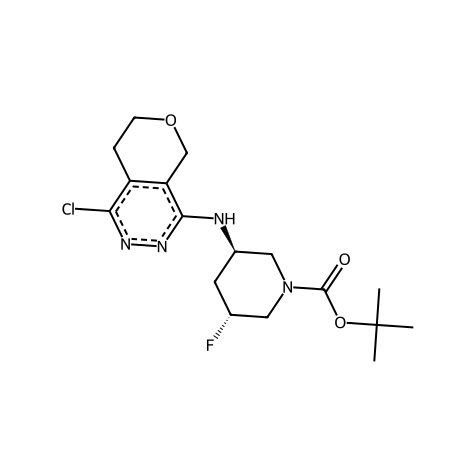 CC(C)(C)OC(=O)N1C[C@H](F)C[C@@H](Nc2nnc(Cl)c3c2COCC3)C1